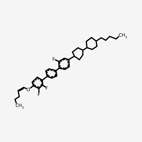 CCC/C=C\Oc1ccc(-c2ccc(-c3ccc(C4CCC(C5CCC(CCCCC)CC5)CC4)cc3F)cc2)c(F)c1F